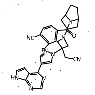 N#CCC1(n2cc(-c3ncnc4[nH]ccc34)cn2)CN(C2CC3CCC(C2)N3C(=O)c2ccc(C#N)c(F)c2)C1